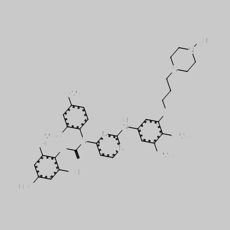 COc1ccc(N(C(=O)Oc2c(C)cc(C)cc2C)c2ccnc(Nc3cc(OC)c(OC)c(OCCCN4CCN(C)CC4)c3)n2)c(OC)c1